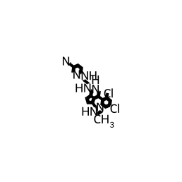 Cc1cnc(-c2ccc3c(NCCNc4ccc(C#N)cn4)[nH]cc(-c4ccc(Cl)cc4Cl)c2-3)[nH]1